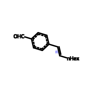 CCCCCC/C=C/c1ccc(C=O)cc1